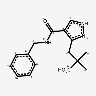 CC(C)(Cc1n[nH]cc1C(=O)NCc1ccccc1)C(=O)O